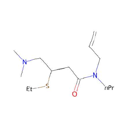 C=CCN(CCC)C(=O)CC(CN(C)C)SCC